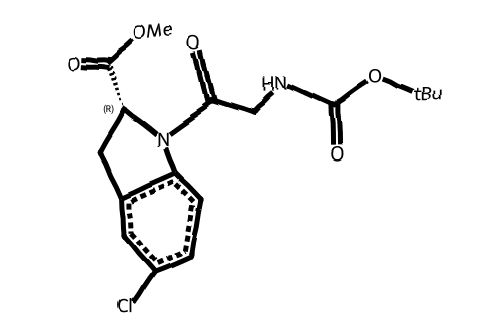 COC(=O)[C@H]1Cc2cc(Cl)ccc2N1C(=O)CNC(=O)OC(C)(C)C